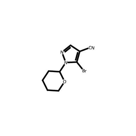 N#Cc1cnn(C2CCCCO2)c1Br